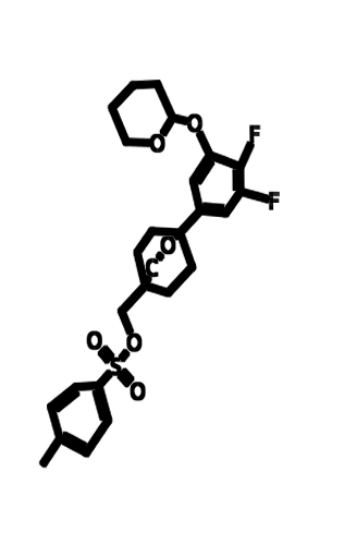 Cc1ccc(S(=O)(=O)OCC23CCC(c4cc(F)c(F)c(OC5CCCCO5)c4)(CC2)OC3)cc1